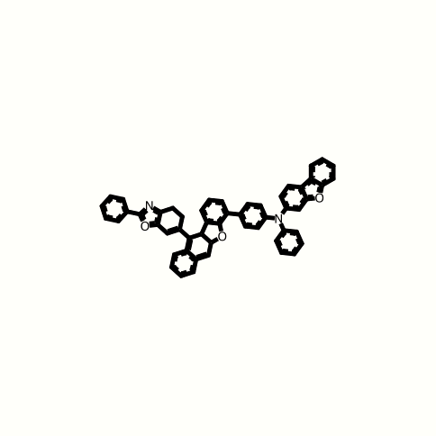 C1=C(C2=c3ccccc3=CC3Oc4c(-c5ccc(N(c6ccccc6)c6ccc7c(c6)oc6ccccc67)cc5)cccc4C23)CCc2nc(-c3ccccc3)oc21